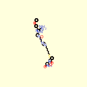 Nc1ncnc2c1c(-c1ccc(Oc3ccccc3)cc1)nn2[C@@H]1CCCN(C(=O)/C=C/CN2CCN(CCCCCCCSc3cccc4c3CN(C3CCC(=O)NC3=O)C4=O)CC2)C1